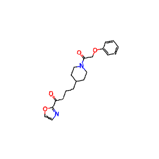 O=C(CCCC1CCN(C(=O)COc2ccccc2)CC1)c1ncco1